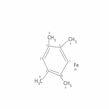 Cc1cc(C)c(C)cc1C.[Fe]